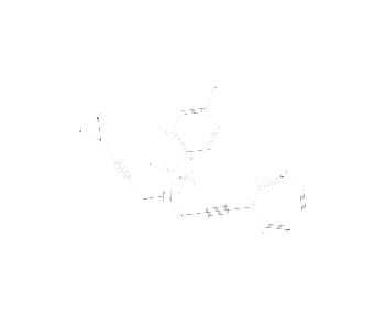 Cc1ccc(S(=O)(=O)N(CC#CC2C=CC=CC=C2)CC#CC2CC2)cc1